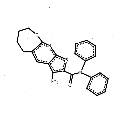 Nc1c(C(=O)N(c2ccccc2)c2ccccc2)sc2nc3c(cc12)CCCCC3